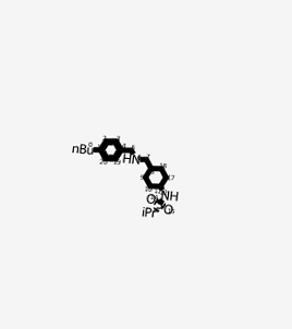 CCCCc1ccc(CNCC2CCC(NS(=O)(=O)C(C)C)CC2)cc1